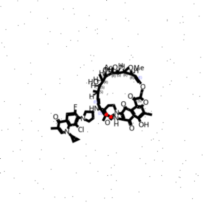 CO[C@H]1/C=C/O[C@@]2(C)Oc3c(C)c(O)c4c(c3C2=O)C(=O)C(N2CCC(NC3CCN(c5c(F)cc6c(=O)c(C)cn(C7CC7)c6c5Cl)C3)CC2)=C(NC(=O)/C(C)=C\C=C\[C@H](C)[C@H](O)[C@@H](C)[C@@H](O)[C@@H](C)[C@H](OC(C)=O)[C@@H]1C)C4=O